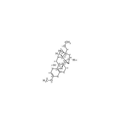 COC[C@]1(O)C[C@H]2C[C@]23[C@@H]2CCC4=C(CC=C(OC)C4)[C@H]2CC[C@]13C